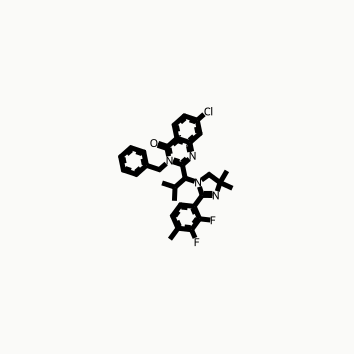 Cc1ccc(C2=NC(C)(C)CN2C(c2nc3cc(Cl)ccc3c(=O)n2Cc2ccccc2)C(C)C)c(F)c1F